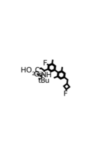 Cc1cc(-c2c(C)cc(CC3CC(F)C3)cc2C)cc(C(CC(=O)O)N[S@+]([O-])C(C)(C)C)c1F